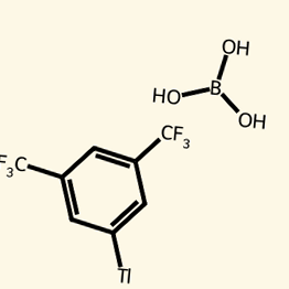 FC(F)(F)c1c[c]([Tl])cc(C(F)(F)F)c1.OB(O)O